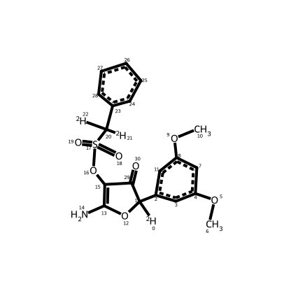 [2H]C1(c2cc(OC)cc(OC)c2)OC(N)=C(OS(=O)(=O)C([2H])([2H])c2ccccc2)C1=O